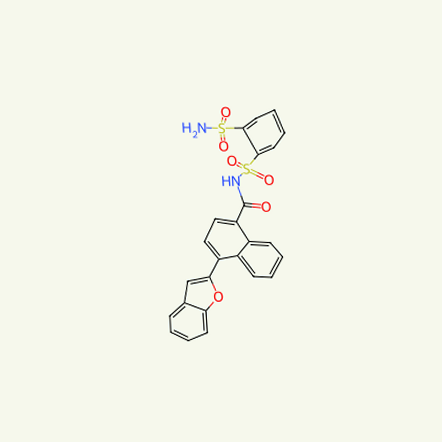 NS(=O)(=O)c1ccccc1S(=O)(=O)NC(=O)c1ccc(-c2cc3ccccc3o2)c2ccccc12